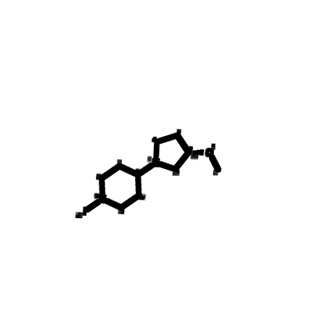 CO[C@H]1CCN(C2CCN(I)CC2)C1